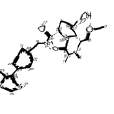 COCCN(C)[C@@H](C)C(=O)N1C[C@H](O)C[C@H]1C(=O)NCc1ccc(-c2scnc2C)cc1